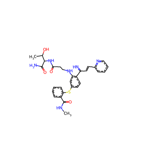 CNC(=O)c1ccccc1Sc1ccc(C(=N)/C=C/c2ccccn2)c(NCCC(=O)NC(C(N)=O)C(C)O)c1